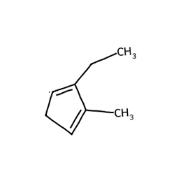 CCC1=[C]CC=C1C